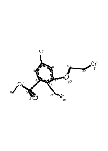 COC(=O)c1cc(F)cc(OCCO)c1CBr